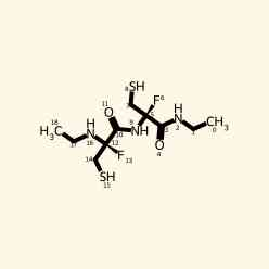 CCNC(=O)[C@@](F)(CS)NC(=O)[C@](F)(CS)NCC